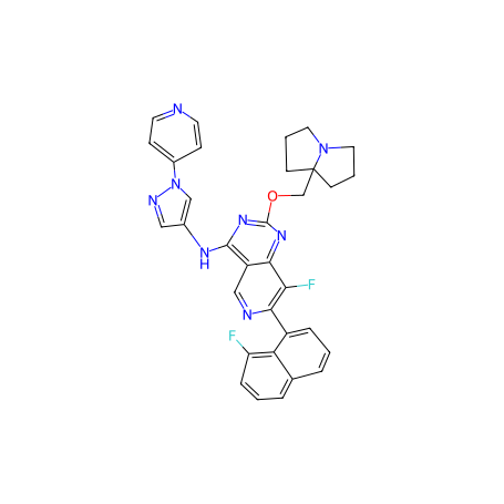 Fc1c(-c2cccc3cccc(F)c23)ncc2c(Nc3cnn(-c4ccncc4)c3)nc(OCC34CCCN3CCC4)nc12